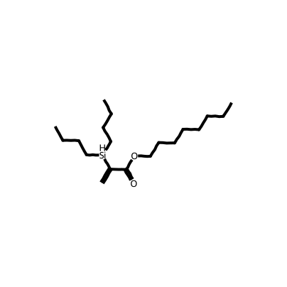 C=C(C(=O)OCCCCCCCC)[SiH](CCCC)CCCC